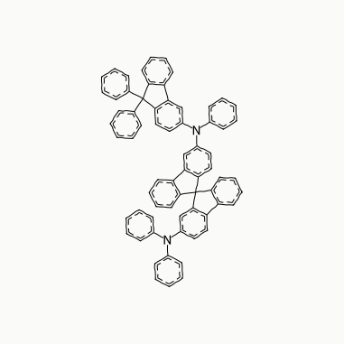 c1ccc(N(c2ccc3c(c2)-c2ccccc2C3(c2ccccc2)c2ccccc2)c2ccc3c(c2)-c2ccccc2C32c3ccccc3-c3ccc(N(c4ccccc4)c4ccccc4)cc32)cc1